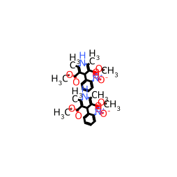 COC(=O)C1=C(C)NC(C)=C(C(=O)OC)C1c1ccccc1[N+](=O)[O-].COC(=O)C1=C(C)NC(C)=C(C(=O)OC)C1c1ccccc1[N+](=O)[O-]